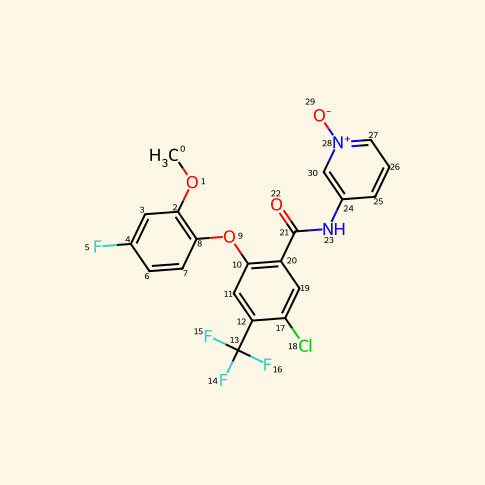 COc1cc(F)ccc1Oc1cc(C(F)(F)F)c(Cl)cc1C(=O)Nc1ccc[n+]([O-])c1